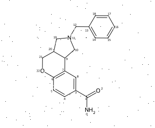 NC(=O)c1ccc2c(c1)C1CN(Cc3ccccc3)CC1CO2